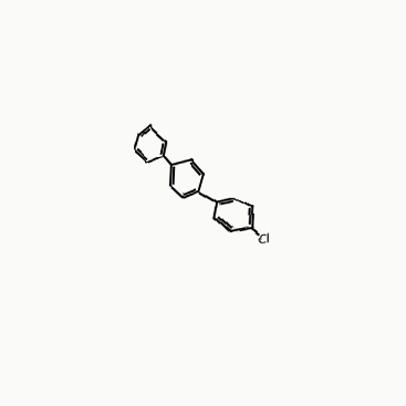 Clc1ccc(-c2ccc(-c3ccccc3)cc2)cc1